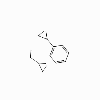 ClCC1CO1.c1ccc(C2CO2)cc1